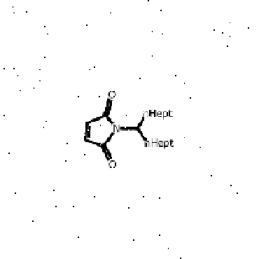 CCCCCCCC(CCCCCCC)N1C(=O)C=CC1=O